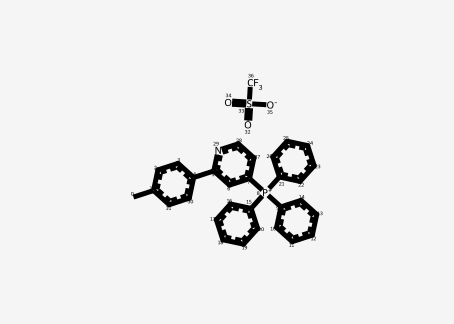 Cc1ccc(-c2cc([P+](c3ccccc3)(c3ccccc3)c3ccccc3)ccn2)cc1.O=S(=O)([O-])C(F)(F)F